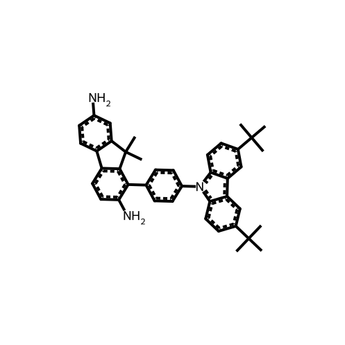 CC(C)(C)c1ccc2c(c1)c1cc(C(C)(C)C)ccc1n2-c1ccc(-c2c(N)ccc3c2C(C)(C)c2cc(N)ccc2-3)cc1